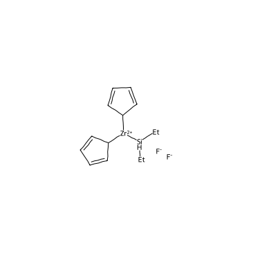 CC[SiH](CC)[Zr+2]([CH]1C=CC=C1)[CH]1C=CC=C1.[F-].[F-]